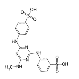 CNc1nc(Nc2ccc(S(=O)(=O)O)cc2)nc(Nc2cccc(S(=O)(=O)O)c2)n1